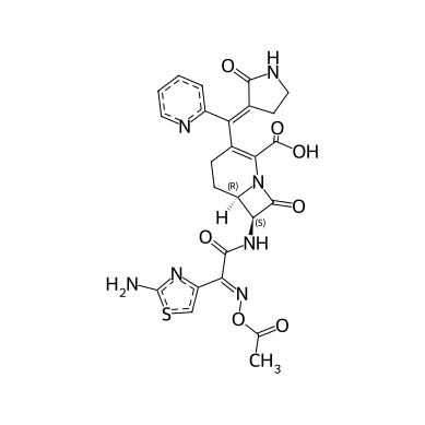 CC(=O)ON=C(C(=O)N[C@@H]1C(=O)N2C(C(=O)O)=C(C(=C3CCNC3=O)c3ccccn3)CC[C@H]12)c1csc(N)n1